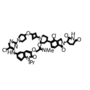 CNC(=O)COc1cc2cc(Nc3nc(N4CCC(OC5CC(N6CCC(c7ccc8c(c7Cl)CN([C@@H]7CCC(=O)NC7=O)C8=O)CC6)C5)CC4)ncc3Cl)ccc2n(C(C)C)c1=O